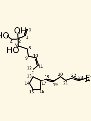 C=CC(O)(CO)C(O)CC/C=C\C[C@H]1CCC[C@@H]1/C=C/CC/C=C/CC